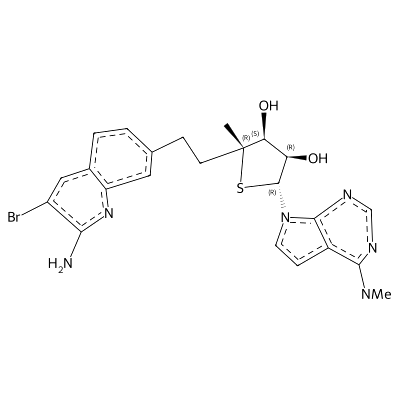 CNc1ncnc2c1ccn2[C@@H]1S[C@](C)(CCc2ccc3cc(Br)c(N)nc3c2)[C@@H](O)[C@H]1O